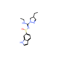 CCN/C(=N\[S+]([O-])c1ccc2cc[nH]c2c1)N1CC(CC)C=N1